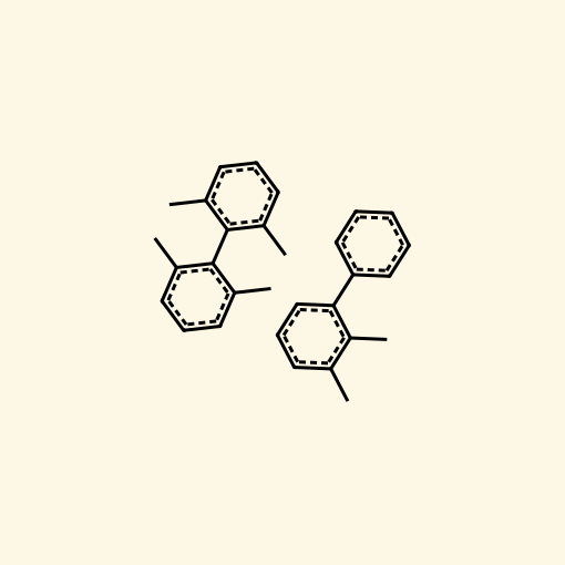 Cc1cccc(-c2ccccc2)c1C.Cc1cccc(C)c1-c1c(C)cccc1C